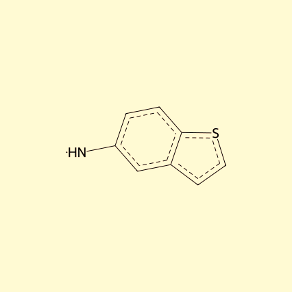 [NH]c1ccc2sccc2c1